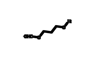 CCOCCCO[C]=O